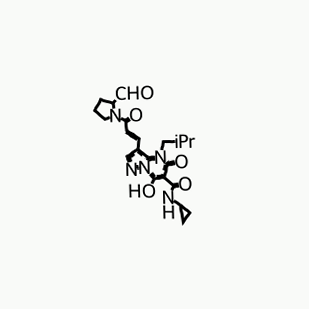 CC(C)Cn1c(=O)c(C(=O)NC2CC2)c(O)n2ncc(/C=C/C(=O)N3CCCC3C=O)c12